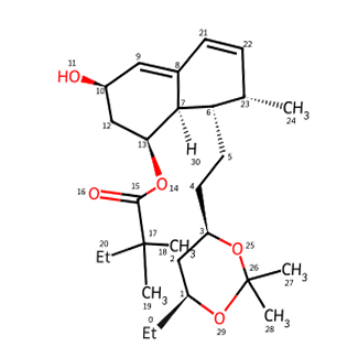 CC[C@H]1C[C@@H](CC[C@@H]2[C@@H]3C(=C[C@H](O)C[C@@H]3OC(=O)C(C)(C)CC)C=C[C@@H]2C)OC(C)(C)O1